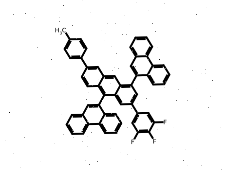 Cc1ccc(-c2ccc3c(-c4cc5ccccc5c5ccccc45)c4cc(-c5cc(F)c(F)c(F)c5)cc(-c5cc6ccccc6c6ccccc56)c4cc3c2)cc1